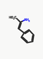 NC(=Cc1ccccc1)C(=O)O